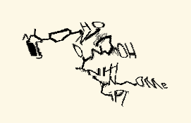 COCCCN[C@H](CN[C@@H](C)C(=O)N1C[C@H](O)C[C@H]1C(=O)NCc1ccc(-c2scnc2C)cc1)CC(C)C